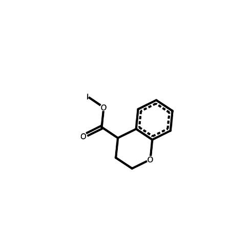 O=C(OI)C1CCOc2ccccc21